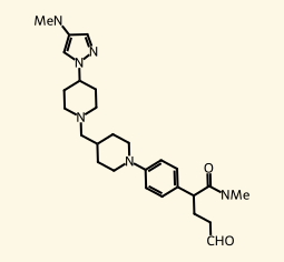 CNC(=O)C(CCC=O)c1ccc(N2CCC(CN3CCC(n4cc(NC)cn4)CC3)CC2)cc1